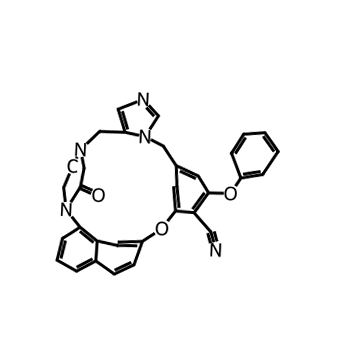 N#Cc1c(Oc2ccccc2)cc2cc1Oc1ccc3cccc(c3c1)N1CCN(CC1=O)Cc1cncn1C2